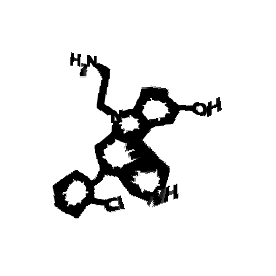 NCCn1c2ccc(O)cc2c2c3c[nH]cc3c(-c3ccccc3Cl)cc21